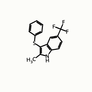 Cc1[nH]c2ccc(C(F)(F)F)cc2c1Sc1ccccc1